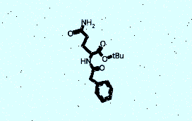 CC(C)(C)OC(=O)C(CCC(N)=O)NC(=O)Cc1ccccc1